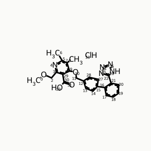 COCc1nc(C)c(C)c(OCc2ccc(-c3ccccc3-c3nnn[nH]3)cc2)c1C(=O)O.Cl